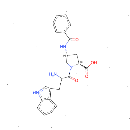 NC(Cc1c[nH]c2ccccc12)C(=O)N1C[C@H](NC(=O)c2ccccc2)C[C@H]1C(=O)O